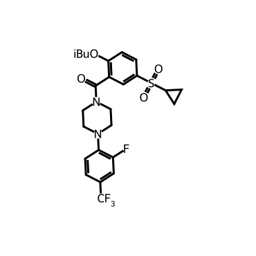 CC(C)COc1ccc(S(=O)(=O)C2CC2)cc1C(=O)N1CCN(c2ccc(C(F)(F)F)cc2F)CC1